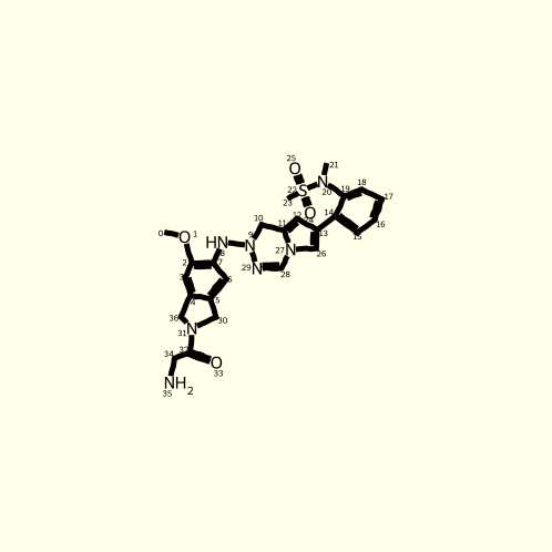 COc1cc2c(cc1NN1Cc3cc(-c4ccccc4N(C)S(C)(=O)=O)cn3C=N1)CN(C(=O)CN)C2